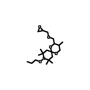 CCCON1C(C)(C)CC2(CC1(C)C)OCC(C)C(COCC1CO1)O2